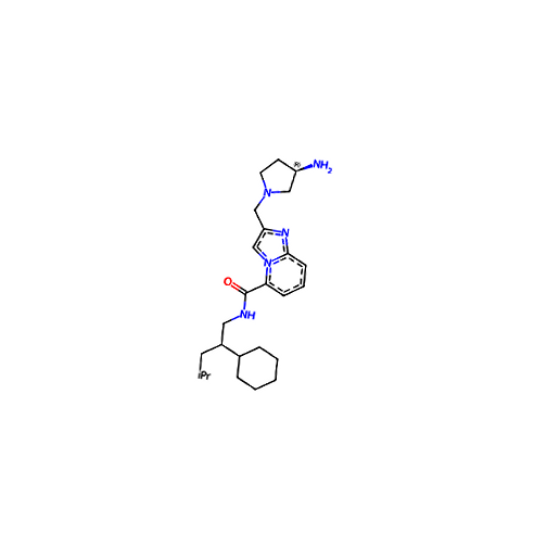 CC(C)CC(CNC(=O)c1cccc2nc(CN3CC[C@@H](N)C3)cn12)C1CCCCC1